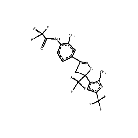 Cc1cc(C2=NOC(c3cc(C(F)(F)F)nn3C)(C(F)(F)F)C2)ccc1NC(=O)C(F)(F)F